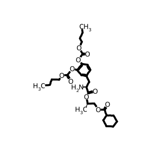 CCCCOC(=O)Oc1ccc(C[C@H](N)C(=O)O[C@@H](C)COC(=O)C2CCCCC2)cc1OC(=O)OCCCC